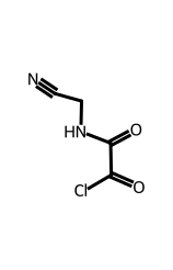 N#CCNC(=O)C(=O)Cl